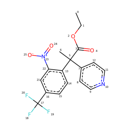 CCOC(=O)C(C)(c1ccncc1)c1ccc(C(F)(F)F)cc1[N+](=O)[O-]